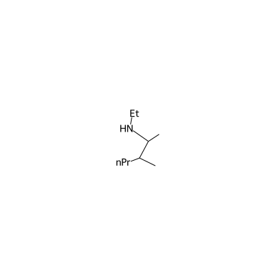 CCCC(C)C(C)NCC